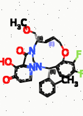 COC[C@@H]1/C=C/COc2c(ccc(F)c2F)[C@H](c2ccccc2C)N2CN1C(=O)c1c(O)c(=O)ccn12